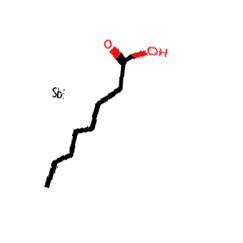 CCCCCCCC(=O)O.[Sb]